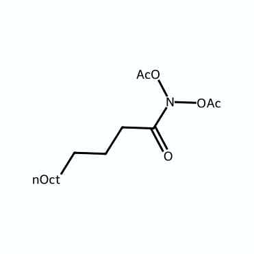 CCCCCCCCCCCC(=O)N(OC(C)=O)OC(C)=O